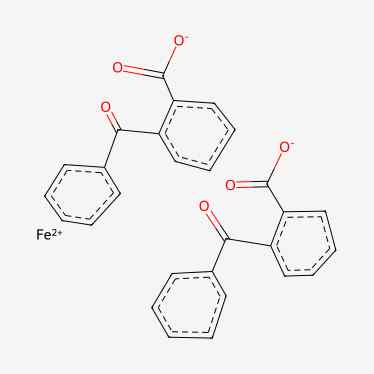 O=C([O-])c1ccccc1C(=O)c1ccccc1.O=C([O-])c1ccccc1C(=O)c1ccccc1.[Fe+2]